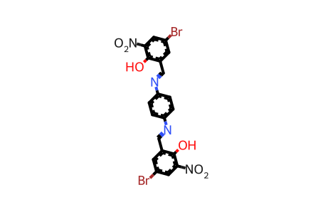 O=[N+]([O-])c1cc(Br)cc(/C=N/c2ccc(/N=C/c3cc(Br)cc([N+](=O)[O-])c3O)cc2)c1O